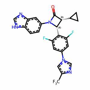 O=C1[C@H](C2CC2)[C@H](c2c(F)cc(-n3cnc(C(F)(F)F)c3)cc2F)N1c1ccc2[nH]cnc2c1